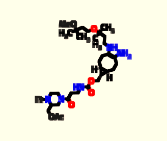 CCN1CCN(C(=O)CCNC(=O)OC[C@@H]2[C@@H]3CC/C(N)=C(/NCCC(C)(C)OCCC(C)(C)OC)CC[C@@H]32)CC1COC(C)=O